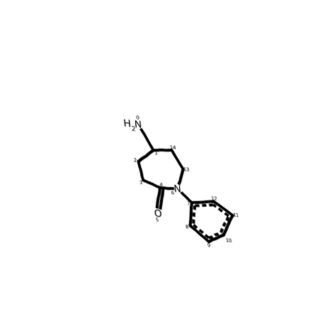 NC1CCC(=O)N(c2ccccc2)CC1